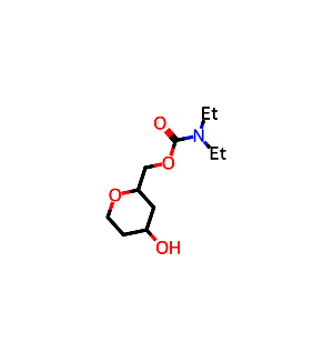 CCN(CC)C(=O)OCC1CC(O)CCO1